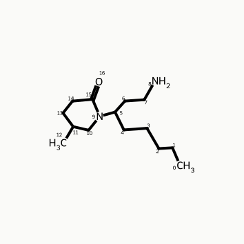 CCCCCC(CCN)N1CC(C)CCC1=O